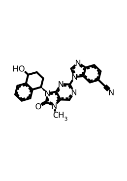 Cn1c(=O)n([C@@H]2CCC(O)c3ccccc32)c2nc(-n3cnc4ccc(C#N)cc43)ncc21